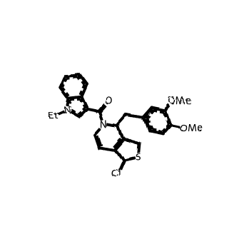 CCn1cc(C(=O)N2C=CC3=C(CSC3Cl)C2Cc2ccc(OC)c(OC)c2)c2ccccc21